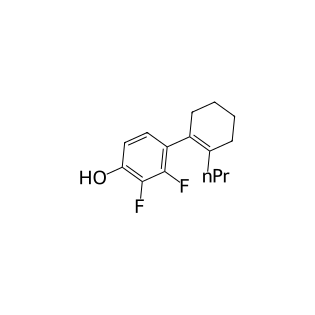 CCCC1=C(c2ccc(O)c(F)c2F)CCCC1